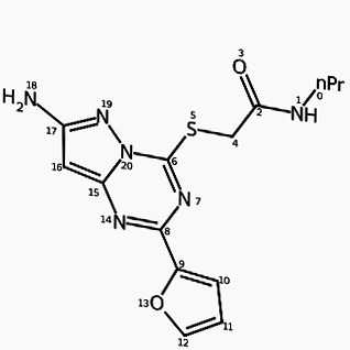 CCCNC(=O)CSc1nc(-c2ccco2)nc2cc(N)nn12